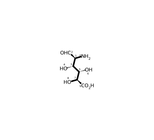 N[C@H](C=O)[C@@H](O)[C@H](O)[C@H](O)C(=O)O